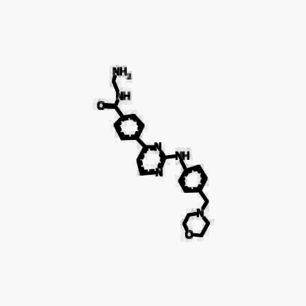 NCNC(=O)c1ccc(-c2ccnc(Nc3ccc(CN4CCOCC4)cc3)n2)cc1